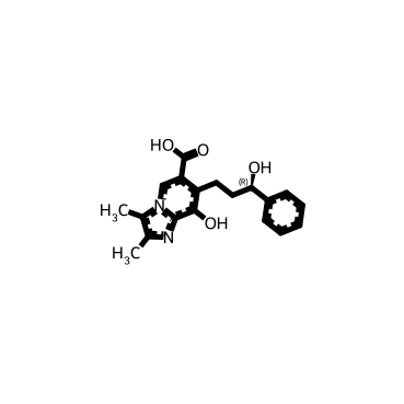 Cc1nc2c(O)c(CC[C@@H](O)c3ccccc3)c(C(=O)O)cn2c1C